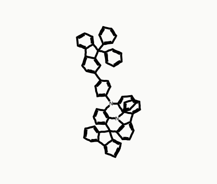 c1ccc(N(c2ccc(-c3ccc4c(c3)C(c3ccccc3)(c3ccccc3)c3ccccc3-4)cc2)c2cccc3c2-n2c4ccccc4c4cccc(c42)C32c3ccccc3-c3ccccc32)cc1